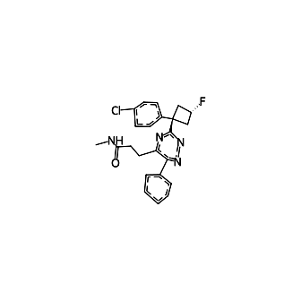 CNC(=O)CCc1nc([C@]2(c3ccc(Cl)cc3)C[C@@H](F)C2)nnc1-c1ccccc1